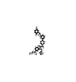 CC(C)OC(=O)c1ccc2nc(C(C)N3CCC(c4cccc(OCc5cc(F)ccc5F)n4)CC3)n(C[C@@H]3CCO3)c2c1